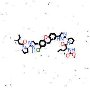 CC[C@H](C)CC(=O)N1CCC[C@H]1C1=NCC(c2cc3c(cc2Cl)Cc2cc(C4CN=C([C@@H]5CCCN5C(=O)[C@@H](NC(=O)OC)[C@@H](C)CC)N4)ccc2O3)N1